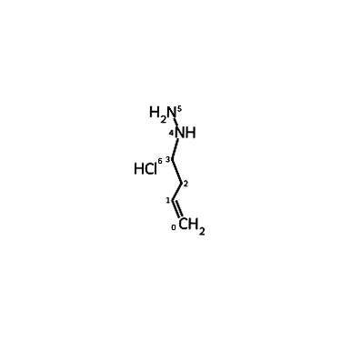 C=CCCNN.Cl